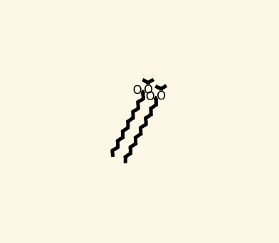 CCCCCCCCCCCCCC(=O)OC(C)C.CCCCCCCCCCCCCC(=O)OC(C)C